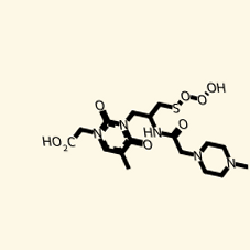 Cc1cn(CC(=O)O)c(=O)n(CC(CSOOO)NC(=O)CN2CCN(C)CC2)c1=O